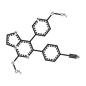 COc1ccc(-c2c(-c3ccc(C#N)cc3)nc(OC)n3ccnc23)cn1